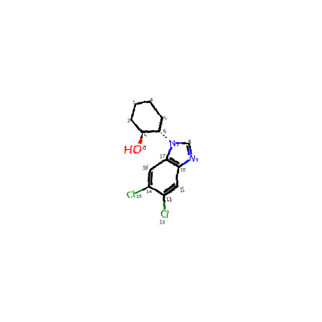 O[C@H]1CCCC[C@@H]1n1cnc2cc(Cl)c(Cl)cc21